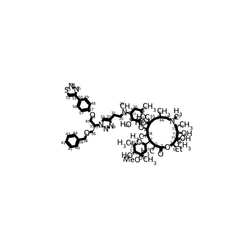 CC[C@H]1OC(=O)[C@H](C)[C@@H](C2C[C@@](C)(OC)[C@@H](O)[C@H](C)O2)[C@H](C)[C@@H](O[C@@H]2O[C@H](C)C[C@H](N(C)CCc3cn([C@H](COCc4ccccc4)COc4ccc(-c5csnn5)cc4)nn3)[C@H]2O)[C@](C)(O)C[C@@H](C)CN(C)[C@H](C)[C@@H](O)[C@]1(C)O